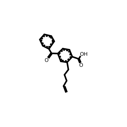 C=CCCCc1cc(C(=O)c2ccccc2)ccc1C(=O)O